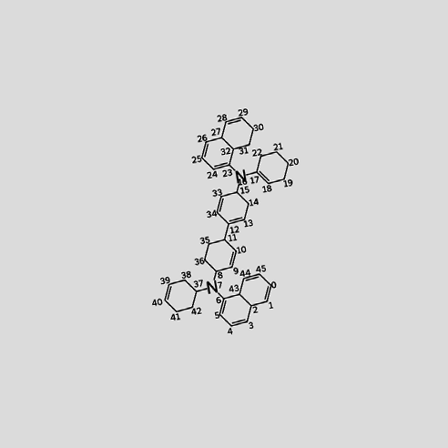 C1=CC2C=CC=C(N(C3C=CC(C4=CCC(N(C5=CCCCC5)C5=CC=CC6C=CCCC56)C=C4)CC3)C3CC=CCC3)C2C=C1